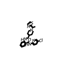 CC(c1nccs1)N1CCC(CNc2ccccc2C(=O)Nc2ccc(Cl)cn2)CC1